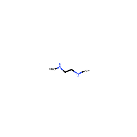 CCCNCCNC=O